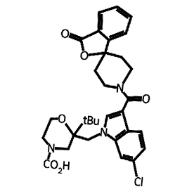 CC(C)(C)C1(Cn2cc(C(=O)N3CCC4(CC3)OC(=O)c3ccccc34)c3ccc(Cl)cc32)CN(C(=O)O)CCO1